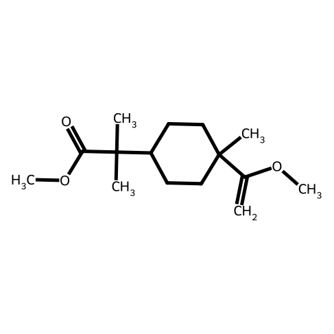 C=C(OC)C1(C)CCC(C(C)(C)C(=O)OC)CC1